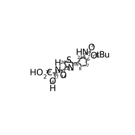 CC(C)(C)OC(=O)Nc1cccc(-c2nc(C(=O)NC(CO)C(=O)O)cs2)c1